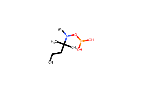 CC(C)N(OP(O)O)C(C)(C)CCC#N